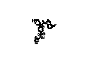 CC(C(=O)C1(c2ccc(S(=O)(=O)Nc3ncns3)cc2)CCNCC1)n1ccc2c(F)cccc21